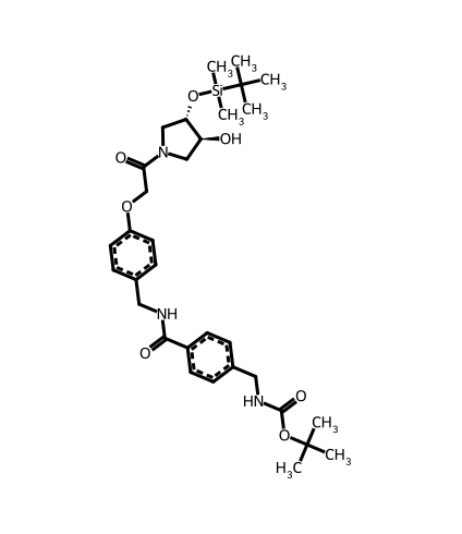 CC(C)(C)OC(=O)NCc1ccc(C(=O)NCc2ccc(OCC(=O)N3C[C@H](O[Si](C)(C)C(C)(C)C)[C@@H](O)C3)cc2)cc1